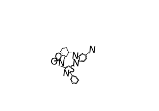 N#Cc1ccc2ncn(C[C@H]3CCC[C@]4(C3)CN(Cc3csc(-c5ccccc5)n3)C(=O)O4)c2c1